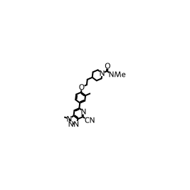 CNC(=O)N1CCC(CCOc2ccc(-c3cc4c(nnn4C)c(C#N)n3)cc2C)CC1